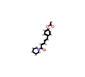 CC(=O)Oc1ccc(/C=C/C=C/C(=O)N2CCCCC2)cc1